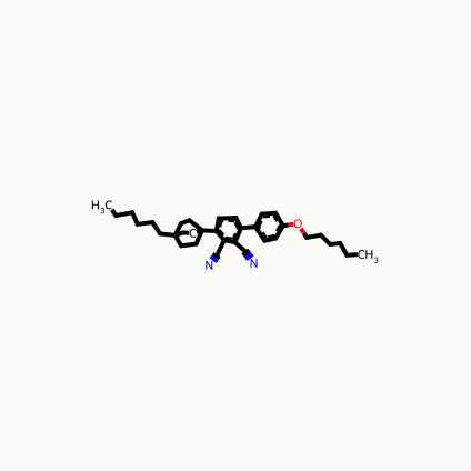 CCCCCCOc1ccc(-c2ccc(C34CCC(CCCCCC)(CC3)CC4)c(C#N)c2C#N)cc1